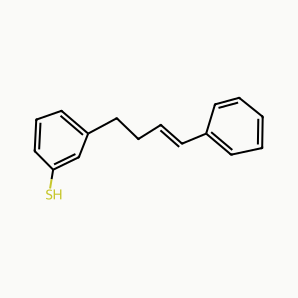 Sc1cccc(CC/C=C/c2ccccc2)c1